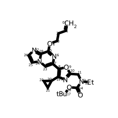 C=CCCOc1nc(-c2oc(CN(CC)C(=O)OC(C)(C)C)nc2C2CC2)cn2ccnc12